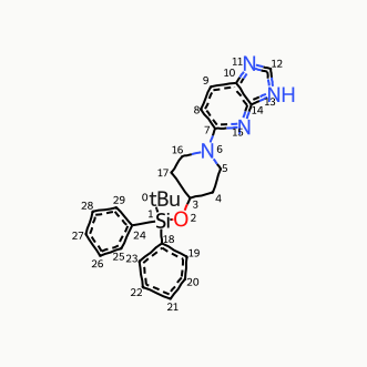 CC(C)(C)[Si](OC1CCN(c2ccc3nc[nH]c3n2)CC1)(c1ccccc1)c1ccccc1